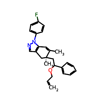 C=CCOC(C[C@@]1(C)Cc2cnn(-c3ccc(F)cc3)c2C=C1C)c1ccccc1